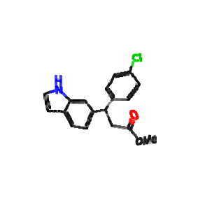 COC(=O)CC(c1ccc(Cl)cc1)c1ccc2cc[nH]c2c1